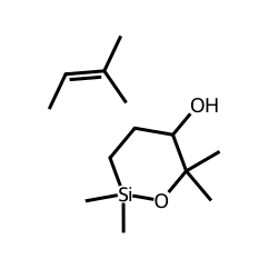 CC1(C)O[Si](C)(C)CCC1O.CC=C(C)C